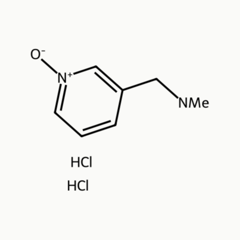 CNCc1ccc[n+]([O-])c1.Cl.Cl